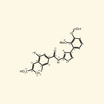 CCCCCCCCOc1cccc(-c2csc(NC(=O)c3cc(F)c(/C=C(\C)C(=O)O)c(F)c3)n2)c1OC